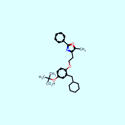 Cc1oc(-c2ccccc2)nc1CCOc1ccc(OC(C)(C)C(=O)O)cc1CC1CCCCC1